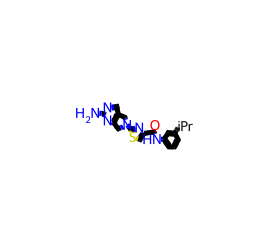 CC(C)c1cccc(NC(=O)c2csc(N3Cc4cnc(N)nc4C3)n2)c1